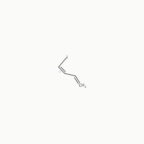 C=C/C=C\I